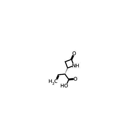 C=C[C@@H](C(=O)O)C1CC(=O)N1